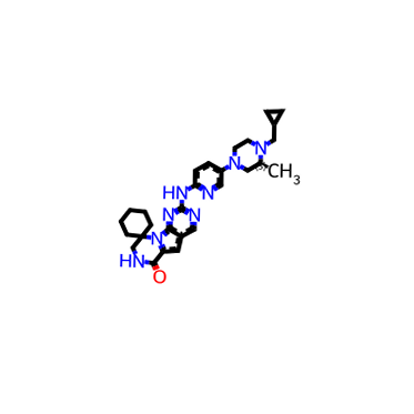 C[C@H]1CN(c2ccc(Nc3ncc4cc5n(c4n3)C3(CCCCC3)CNC5=O)nc2)CCN1CC1CC1